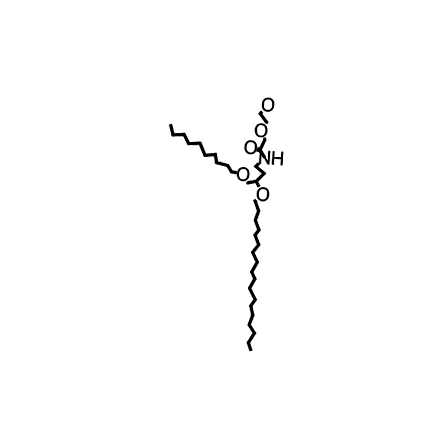 CCCCCCCCCCCCCCCCCCOC(CCNC(=O)COCCOC)COCCCCCCCCCC